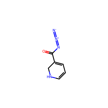 [N-]=[N+]=NC(=O)C1=CC=CNC1